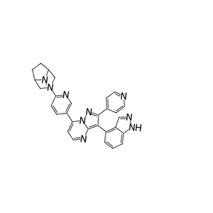 CN1C2CCC1CN(c1ccc(-c3ccnc4c(-c5cccc6[nH]ncc56)c(-c5ccncc5)nn34)cn1)C2